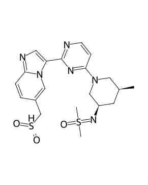 C[C@H]1C[C@@H](N=S(C)(C)=O)CN(c2ccnc(-c3cnc4ccc(C[SH](=O)=O)cn34)n2)C1